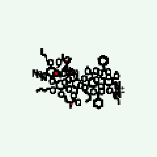 CCCCOC(=O)[C@@H]1O[C@@H](O[C@@H]2C(COC(C)=O)O[C@H](O[C@@H]3C(C(=O)OC)O[C@@H](O[C@@H]4C(COC(=O)c5ccccc5)O[C@H](OC)C(N=[N+]=[N-])[C@H]4OCCCC)[C@@H](OC(=O)c4ccccc4)C3OCCCC)C(N=[N+]=[N-])[C@H]2OC(C)=O)[C@@H](OCCCC)C(OCCCC)[C@@H]1O[C@H]1O[C@@H](COC(C)=O)[C@@H](OCCCC)C[C@@H]1N=[N+]=[N-]